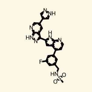 CS(=O)(=O)NCc1cc(F)cc(-c2ccnc3[nH]c(-c4n[nH]c5ncc(-c6cn[nH]c6)cc45)cc23)c1